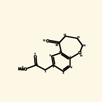 COC(=O)Cc1ccc2c(c1)C(=O)CCCO2